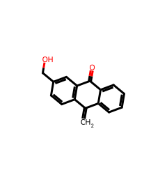 C=C1c2ccccc2C(=O)c2cc(CO)ccc21